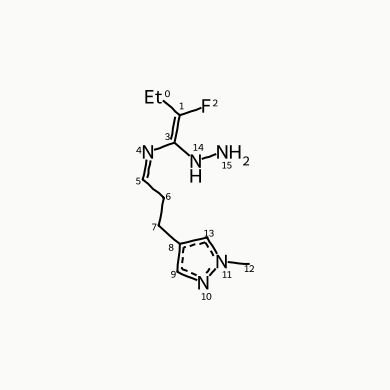 CC/C(F)=C(\N=C/CCc1cnn(C)c1)NN